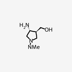 CNN1C[C@H](CO)[C@@H](N)C1